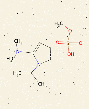 CC(C)N1CCC=C1N(C)C.COS(=O)(=O)O